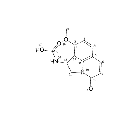 COc1ccc2ccc(=O)n3c2c1C(NC(=O)O)C3